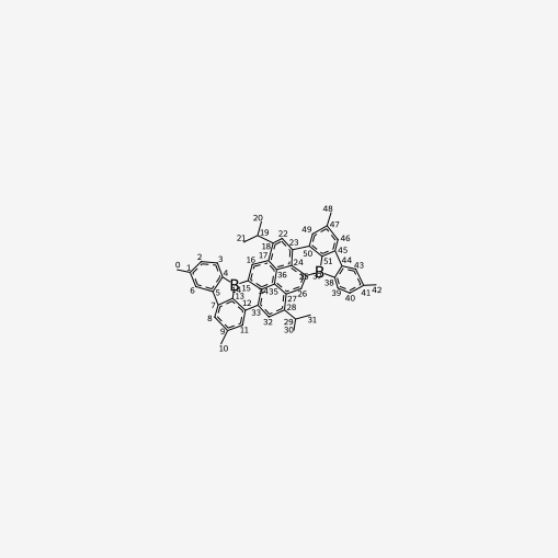 Cc1ccc2c(c1)-c1cc(C)cc3c1B2c1cc2c(C(C)C)cc4c5c(cc6c(C(C)C)cc-3c1c6c25)B1c2ccc(C)cc2-c2cc(C)cc-4c21